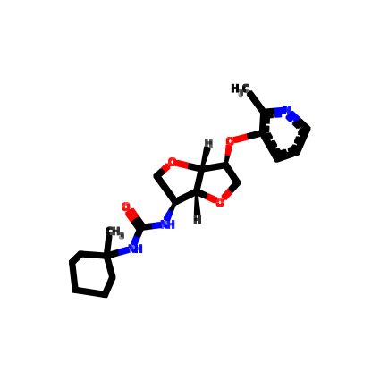 Cc1ncccc1O[C@H]1CO[C@H]2[C@@H]1OC[C@@H]2NC(=O)NC1(C)CCCCC1